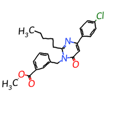 CCCCCc1nc(-c2ccc(Cl)cc2)cc(=O)n1Cc1cccc(C(=O)OC)c1